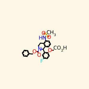 CS(=O)(=O)Nc1cccc2c1CCN(C(=O)OCc1ccccc1)C2c1cc(F)ccc1OCC(=O)O